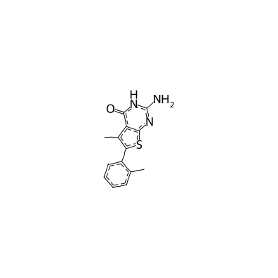 Cc1ccccc1-c1sc2nc(N)[nH]c(=O)c2c1C